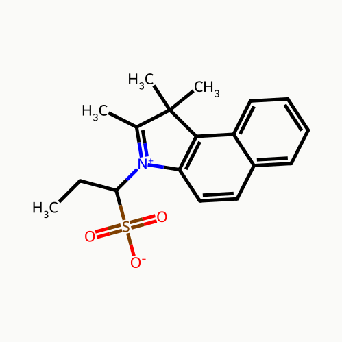 CCC([N+]1=C(C)C(C)(C)c2c1ccc1ccccc21)S(=O)(=O)[O-]